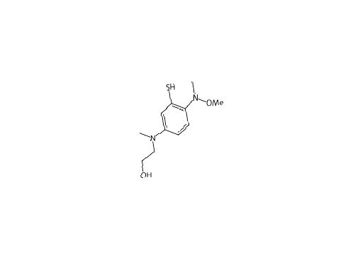 CON(C)c1ccc(N(C)CCO)cc1S